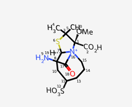 CO[C@]1(C(=O)O)C(C)(C)S[C@@H]2C3(N)CC(S(=O)(=O)O)CCC[N+]21C3=O